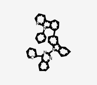 c1ccc(-c2nc(-n3c4ccccc4c4cc(-c5cccc6c7cccnc7n(-c7ccccc7)c56)ccc43)nc3ccccc23)cc1